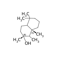 CC1[C@@]2(C)CCCC(C)(C)C2CC[C@@]1(C)O